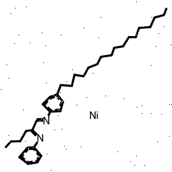 CCCCCCCCCCCCCCCCCc1ccc(N=CC(CCCC)=Nc2ccccc2)cc1.[Ni]